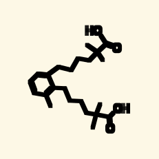 Cc1cccc(CCCCC(C)(C)C(=O)O)c1CCCCC(C)(C)C(=O)O